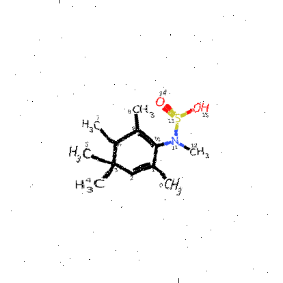 CC1=CC(C)(C)C(C)C(C)=C1N(C)S(=O)O